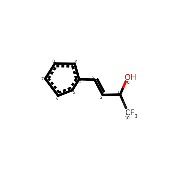 OC(C=Cc1ccccc1)C(F)(F)F